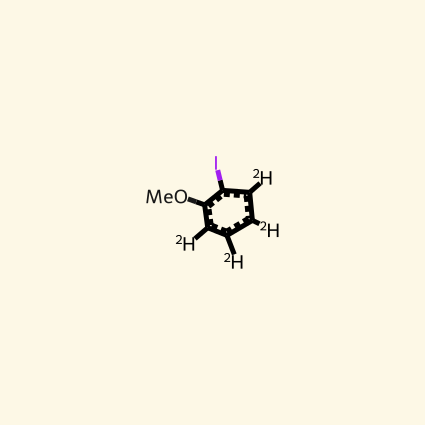 [2H]c1c([2H])c([2H])c(OC)c(I)c1[2H]